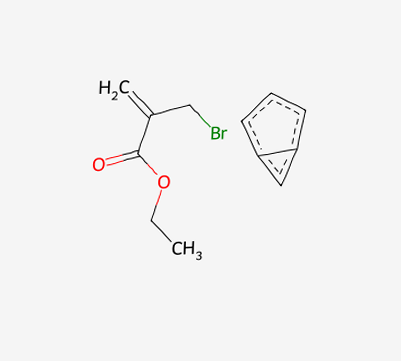 C=C(CBr)C(=O)OCC.c1cc2cc-2c1